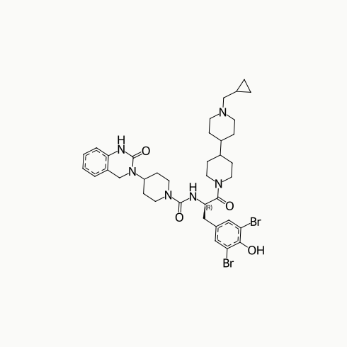 O=C(N[C@H](Cc1cc(Br)c(O)c(Br)c1)C(=O)N1CCC(C2CCN(CC3CC3)CC2)CC1)N1CCC(N2Cc3ccccc3NC2=O)CC1